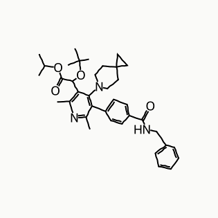 Cc1nc(C)c(C(OC(C)(C)C)C(=O)OC(C)C)c(N2CCC3(CC2)CC3)c1-c1ccc(C(=O)NCc2ccccc2)cc1